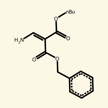 CCCCOC(=O)/C(=C/N)C(=O)OCc1ccccc1